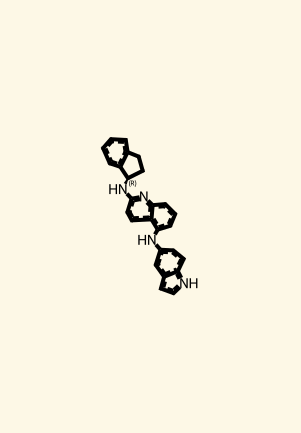 c1ccc2c(c1)CC[C@H]2Nc1ccc2c(Nc3ccc4[nH]ccc4c3)cccc2n1